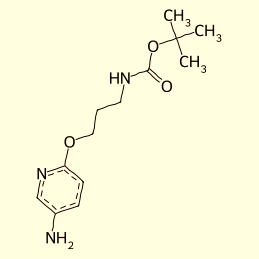 CC(C)(C)OC(=O)NCCCOc1ccc(N)cn1